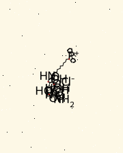 CC(C)[P+](CCCCCCCCCCCC(=O)Nc1ccc2c(c1O)C(=O)C1=C(O)[C@]3(O)C(=O)C(C(N)=O)=C(O)[C@@H](N(C)C)[C@@H]3[C@@H](O)[C@@H]1[C@H]2C)(c1ccccc1)c1ccccc1.[Cl-]